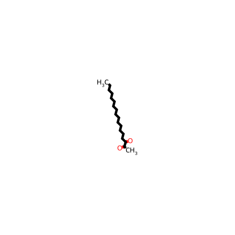 CCCCCCCCCCCCCCCC(=O)C(C)=O